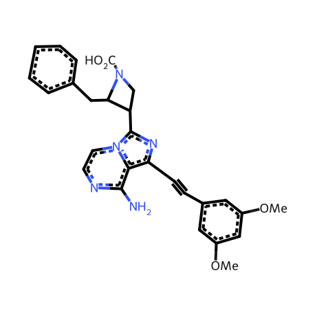 COc1cc(C#Cc2nc(C3CN(C(=O)O)C3Cc3ccccc3)n3ccnc(N)c23)cc(OC)c1